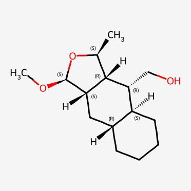 CO[C@H]1O[C@@H](C)[C@H]2[C@@H]1C[C@H]1CCCC[C@@H]1[C@H]2CO